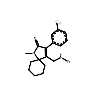 CCNCC1=C(c2cccc(C(F)(F)F)c2)C(=O)N(C)C12CCCCC2